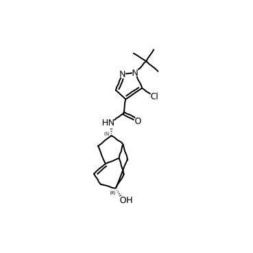 CC(C)(C)n1ncc(C(=O)N[C@H]2CC3=CC[C@]4(O)CC3C2C4)c1Cl